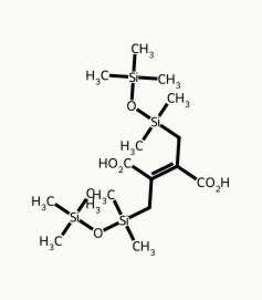 C[Si](C)(C)O[Si](C)(C)CC(C(=O)O)=C(C[Si](C)(C)O[Si](C)(C)C)C(=O)O